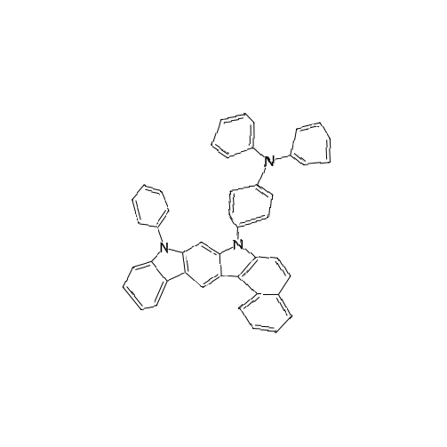 c1ccc(N(c2ccccc2)c2ccc(-n3c4cc5c(cc4c4c6ccccc6ccc43)c3ccccc3n5-c3ccccc3)cc2)cc1